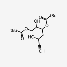 C#CC(O)CC(OC(=O)C(C)(C)C)C(O)COC(=O)C(C)(C)C